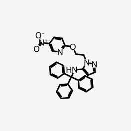 O=[N+]([O-])c1ccc(OCCn2nccc2NC(c2ccccc2)(c2ccccc2)c2ccccc2)nc1